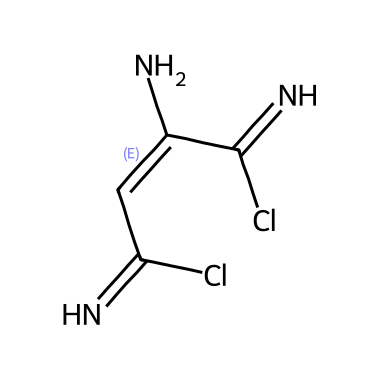 N=C(Cl)/C=C(/N)C(=N)Cl